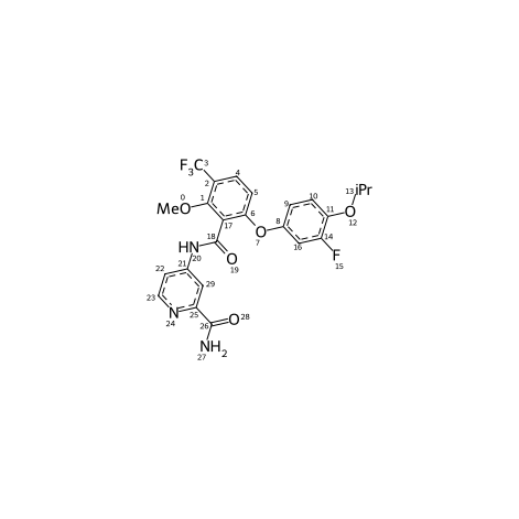 COc1c(C(F)(F)F)ccc(Oc2ccc(OC(C)C)c(F)c2)c1C(=O)Nc1ccnc(C(N)=O)c1